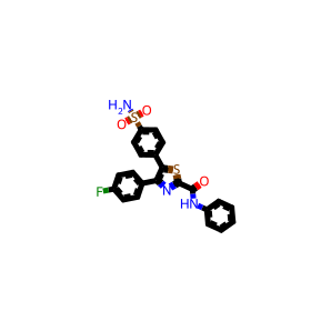 NS(=O)(=O)c1ccc(-c2sc(C(=O)Nc3ccccc3)nc2-c2ccc(F)cc2)cc1